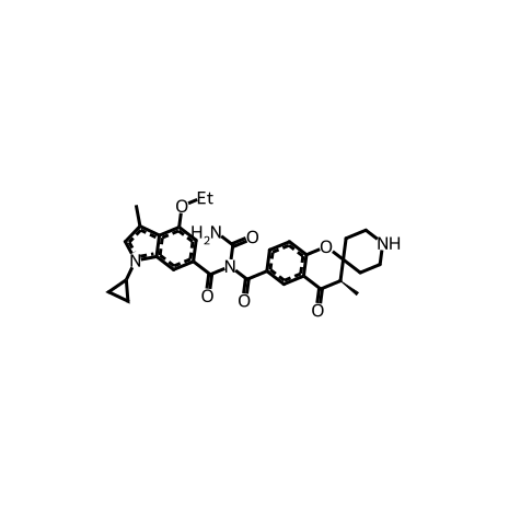 CCOc1cc(C(=O)N(C(N)=O)C(=O)c2ccc3c(c2)C(=O)[C@H](C)C2(CCNCC2)O3)cc2c1c(C)cn2C1CC1